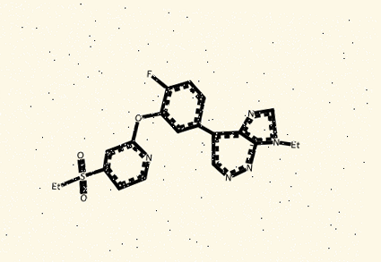 CCn1cnc2c(-c3ccc(F)c(Oc4cc(S(=O)(=O)CC)ccn4)c3)cnnc21